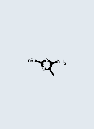 CCCCc1nc(C)c(N)[nH]1